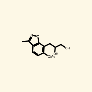 COc1ccc2c(C)noc2c1CC(O)CO